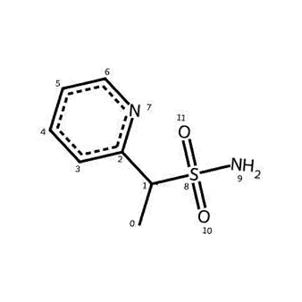 C[C](c1ccccn1)S(N)(=O)=O